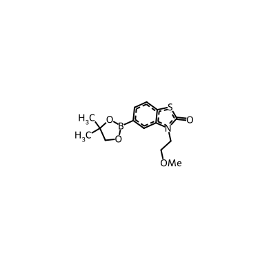 COCCn1c(=O)sc2ccc(B3OCC(C)(C)O3)cc21